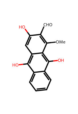 COc1c(C=O)c(O)cc2c(O)c3ccccc3c(O)c12